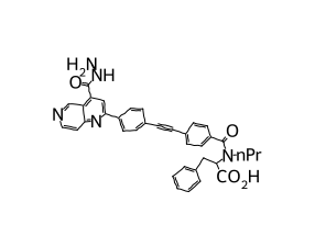 CCCN(C(=O)c1ccc(C#Cc2ccc(-c3cc(C(=O)NN)c4cnccc4n3)cc2)cc1)C(Cc1ccccc1)C(=O)O